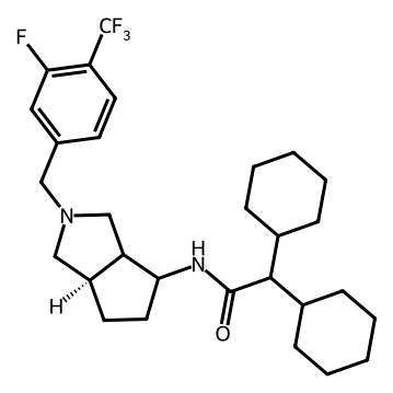 O=C(NC1CC[C@H]2CN(Cc3ccc(C(F)(F)F)c(F)c3)CC12)C(C1CCCCC1)C1CCCCC1